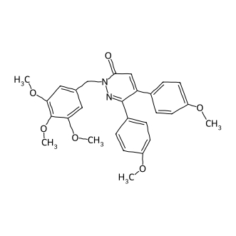 COc1ccc(-c2cc(=O)n(Cc3cc(OC)c(OC)c(OC)c3)nc2-c2ccc(OC)cc2)cc1